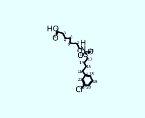 O=C(O)CCCCCCNS(=O)(=O)CCCCc1cccc(Cl)c1